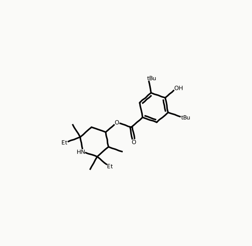 CCC1(C)CC(OC(=O)c2cc(C(C)(C)C)c(O)c(C(C)(C)C)c2)C(C)C(C)(CC)N1